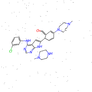 CN1CCN(C2=CC(=C=O)C(c3cc4c(Nc5cccc(Cl)c5)ncnc4[nH]3)C=C2)CC1.CN1CCNCC1